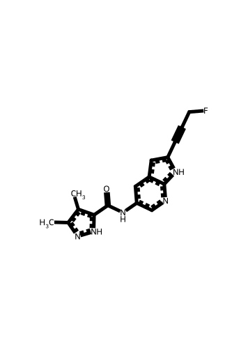 Cc1n[nH]c(C(=O)Nc2cnc3[nH]c(C#CCF)cc3c2)c1C